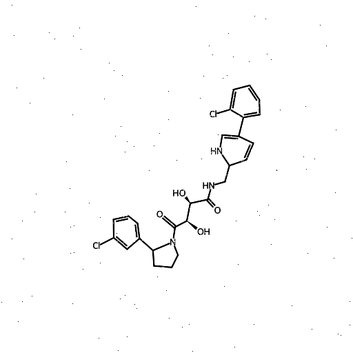 O=C(NCC1C=CC(c2ccccc2Cl)=CN1)[C@H](O)[C@@H](O)C(=O)N1CCCC1c1cccc(Cl)c1